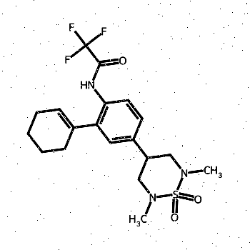 CN1CC(c2ccc(NC(=O)C(F)(F)F)c(C3=CCCCC3)c2)CN(C)S1(=O)=O